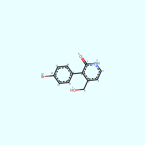 O=c1[nH]ccc(CO)c1-c1ccc(Br)cc1